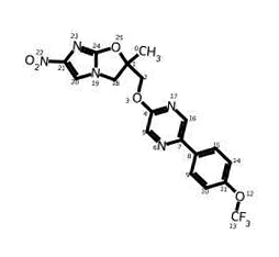 CC1(COc2cnc(-c3ccc(OC(F)(F)F)cc3)cn2)Cn2cc([N+](=O)[O-])nc2O1